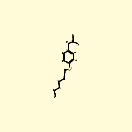 CCCCCCSc1ccc(C[C](C)C)cc1